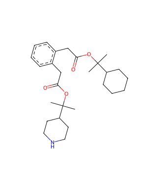 CC(C)(OC(=O)Cc1ccccc1CC(=O)OC(C)(C)C1CCNCC1)C1CCCCC1